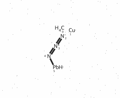 C.[Cu].[N-]=[N+]=[N][PbH]